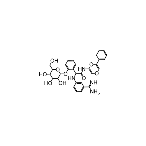 N=C(N)c1cccc(NC(C(=O)NC2=COC=C(C3=CC=CCC3)O2)c2ccccc2OC2OC(CO)C(O)C(O)C2O)c1